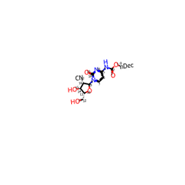 CCCCCCCCCCOC(=O)Nc1ccn(C2O[C@H](CO)[C@@H](O)[C@@H]2C#N)c(=O)n1